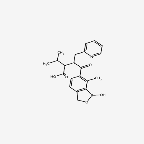 Cc1c(C(=O)N(Cc2ccccn2)C(C(=O)O)C(C)C)ccc2c1B(O)OC2